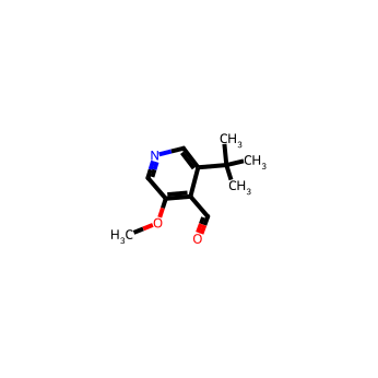 COc1cncc(C(C)(C)C)c1C=O